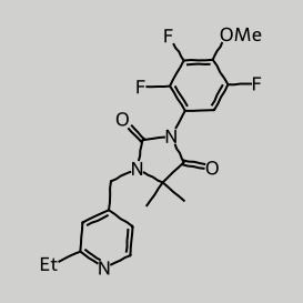 CCc1cc(CN2C(=O)N(c3cc(F)c(OC)c(F)c3F)C(=O)C2(C)C)ccn1